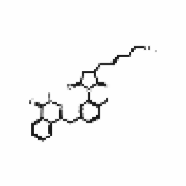 CCC/C=C/CC1CC(=O)N(c2cc(Cc3n[nH]c(=O)c4ccccc34)ccc2F)C1=O